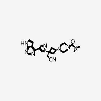 CN(C)C(=O)N1CCN([C@H]2C[C@](CC#N)(n3cc(-c4ncnc5[nH]ccc45)cn3)C2)CC1